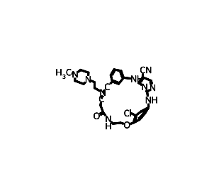 CN1CCN(CCN2CCC(=O)NCCOc3ccc(cc3Cl)Nc3ncc(C#N)c(n3)Nc3cccc(c3)C2)CC1